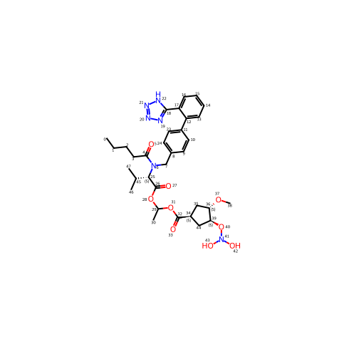 CCCCC(=O)N(Cc1ccc(-c2ccccc2-c2nnn[nH]2)cc1)[C@H](C(=O)OC(C)OC(=O)[C@H]1C[C@H](OC)[C@@H](ON(O)O)C1)C(C)C